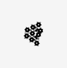 c1ccc(-n2c3cc4c(cc3n3c5sc6ccccc6c5n(-c5ccccc5)c5cccc2c53)n2c3c(cccc3n(-c3ccccc3)c3sc5ccccc5c32)n4-c2ccccc2)cc1